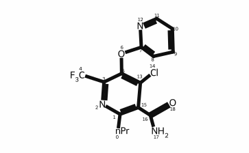 CCCc1nc(C(F)(F)F)c(Oc2ccccn2)c(Cl)c1C(N)=O